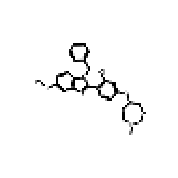 CC(C)Oc1ccc2c(c1)nc(-c1ccc(O[C@H]3CCCN(C)CC3)cc1Cl)n2Cc1ccccc1